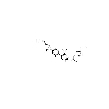 CC(=O)NCC1CN(c2ccc(-c3cnc(OC4COc5nc([N+](=O)[O-])cn5C4)nc3N(C)C)c(F)c2)C(=O)O1